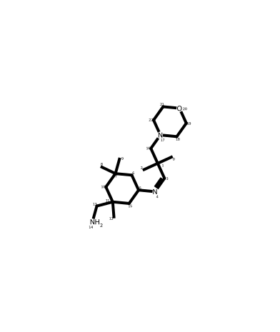 CC(C)(/C=N\C1CC(C)(C)CC(C)(CN)C1)CN1CCOCC1